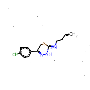 C=CCC/N=C1/NN=C(c2ccc(Cl)cc2)CS1